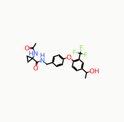 CC(=O)NC1(C(=O)NCc2ccc(Oc3ccc(C(C)O)cc3C(F)(F)F)cc2)CC1